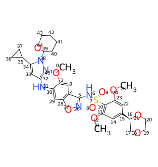 COc1cc2c(NS(=O)(=O)c3c(OC)cc([C@@H]4COCCO4)cc3OC)noc2cc1Nc1cc(C2CC2)n(C2CCCCO2)n1